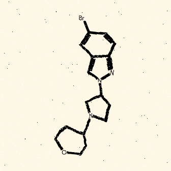 Brc1ccc2nn(C3CCN(C4CCOCC4)C3)cc2c1